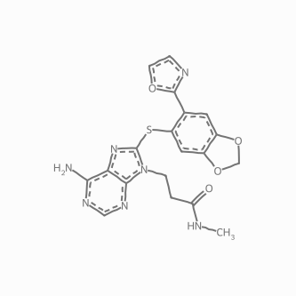 CNC(=O)CCn1c(Sc2cc3c(cc2-c2ncco2)OCO3)nc2c(N)ncnc21